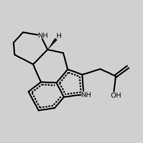 C=C(O)Cc1[nH]c2cccc3c2c1C[C@H]1NCCCC31